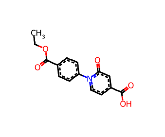 CCOC(=O)c1ccc(-n2ccc(C(=O)O)cc2=O)cc1